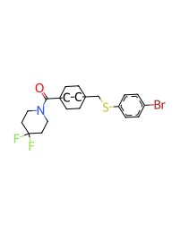 O=C(N1CCC(F)(F)CC1)C12CCC(CSc3ccc(Br)cc3)(CC1)CC2